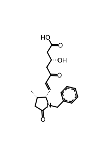 C[C@H]1CC(=O)N(Cc2ccccc2)[C@H]1C=CC(=O)C[C@@H](O)CC(=O)O